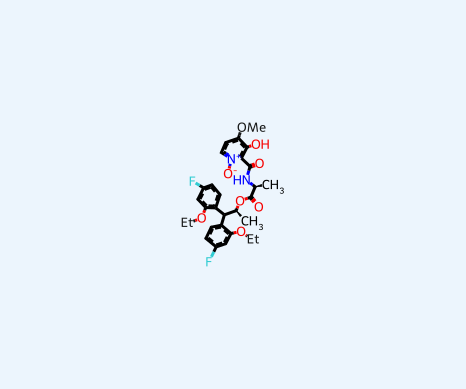 CCOc1cc(F)ccc1C(c1ccc(F)cc1OCC)[C@H](C)OC(=O)[C@H](C)NC(=O)c1c(O)c(OC)cc[n+]1[O-]